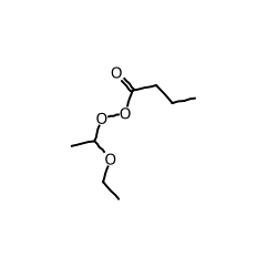 CCCC(=O)OOC(C)OCC